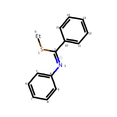 CCS/C(=N\c1ccccc1)c1ccccc1